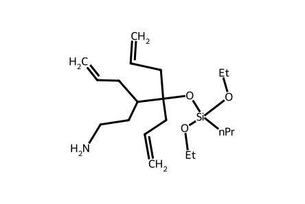 C=CCC(CCN)C(CC=C)(CC=C)O[Si](CCC)(OCC)OCC